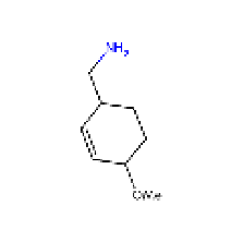 COC1C=CC(CN)CC1